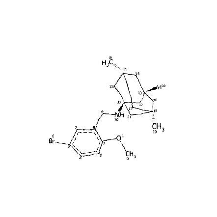 COc1ccc(Br)cc1CN[C@@]12C[C@@H]3C[C@@](C)(C[C@@](C)(C3)C1)C2